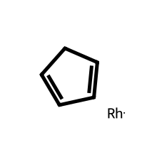 C1=CCC=C1.[Rh]